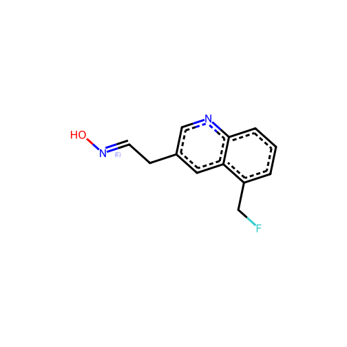 O/N=C/Cc1cnc2cccc(CF)c2c1